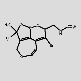 CC1(C)OB2OC(CNC(=O)O)C(Br)=C3C=COCC1=C23